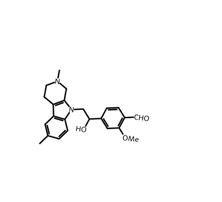 COc1cc(C(O)Cn2c3c(c4cc(C)ccc42)CCN(C)C3)ccc1C=O